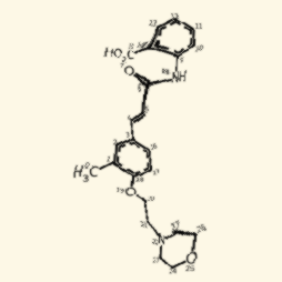 Cc1cc(/C=C/C(=O)Nc2ccccc2C(=O)O)ccc1OCCN1CCOCC1